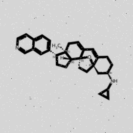 C[C@]12CC=C3C=C4CC[C@@H](NC5CC5)C[C@]45CC[C@]3(O5)[C@@H]1CC[C@@H]2c1ccc2ccncc2c1